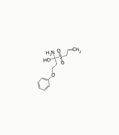 C=CCS(=O)(=O)C(N)(O)CCOc1ccccc1